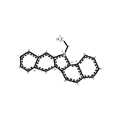 CCn1c2cc3ccccc3cc2c2ccc3ccccc3c21